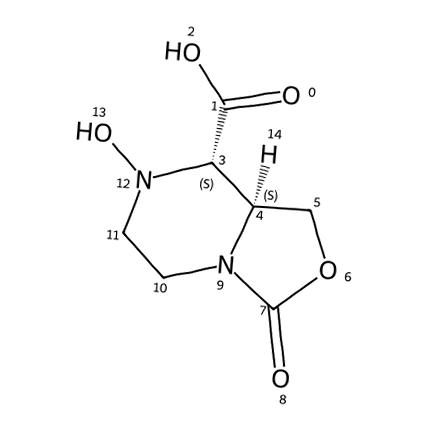 O=C(O)[C@@H]1[C@H]2COC(=O)N2CCN1O